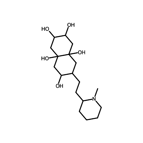 CN1CCCCC1CCC1CC2(O)CC(O)C(O)CC2(O)CC1O